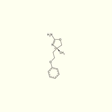 C[C@]1(CCOc2ccccc2)COC(N)=N1